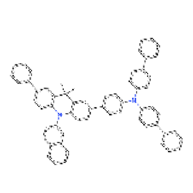 CC1(C)c2cc(-c3ccccc3)ccc2N(c2ccc3ccccc3c2)c2ccc(-c3ccc(N(c4ccc(-c5ccccc5)cc4)c4ccc(-c5ccccc5)cc4)cc3)cc21